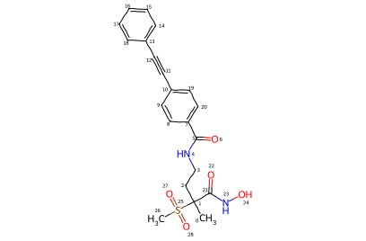 CC(CCNC(=O)c1ccc(C#Cc2ccccc2)cc1)(C(=O)NO)S(C)(=O)=O